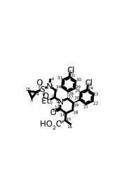 CCC(CN(C)S(=O)(=O)C1CC1)N1C(=O)C([C@H](C)C(=O)O)C[C@H](c2cccc(Cl)c2)[C@H]1c1ccc(Cl)cc1